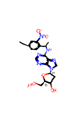 Cc1ccc(C(C)Nc2ncnc3c2ncn3[C@H]2CC(O)[C@@H](CO)O2)c([N+](=O)[O-])c1